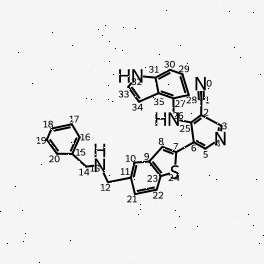 N#Cc1cncc(-c2cc3cc(CNCc4ccccc4)ccc3s2)c1Nc1cccc2[nH]ccc12